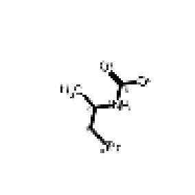 CC(C)CC(C)NC([O])=O